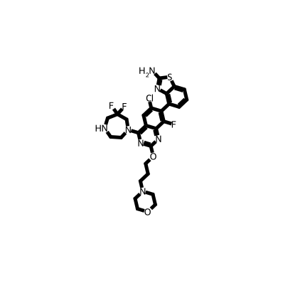 Nc1nc2c(-c3c(Cl)cc4c(N5CCNCC(F)(F)C5)nc(OCCCN5CCOCC5)nc4c3F)cccc2s1